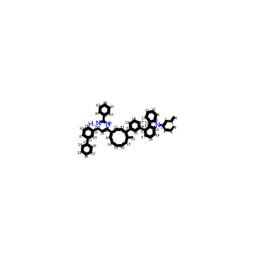 C=C/C=C(\C=C/C)n1c2ccccc2c2c(-c3cccc(-c4ccc(C(=C/Cc5cccc(-c6ccccc6)c5)/N=C(\N)c5ccccc5)cccccc4C)c3)cccc21